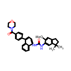 COc1cc2c(cc1NC(=O)Nc1ccc(-c3ccc(C(=O)N4CCOCC4)cc3)c3ccccc13)C(C)(C)CC2